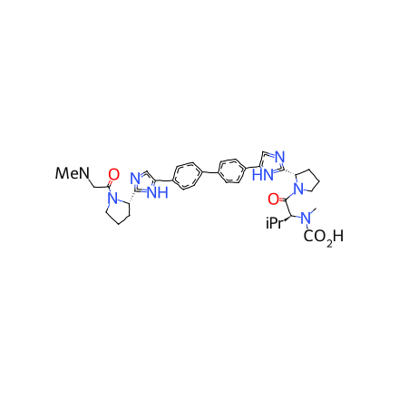 CNCC(=O)N1CCC[C@H]1c1ncc(-c2ccc(-c3ccc(-c4cnc([C@@H]5CCCN5C(=O)[C@H](C(C)C)N(C)C(=O)O)[nH]4)cc3)cc2)[nH]1